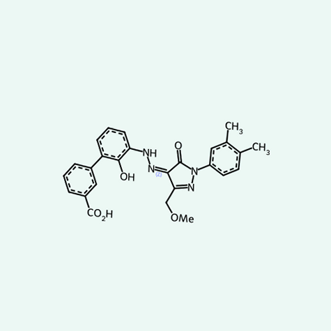 COCC1=NN(c2ccc(C)c(C)c2)C(=O)/C1=N\Nc1cccc(-c2cccc(C(=O)O)c2)c1O